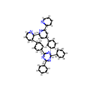 c1ccc(-c2cc(-c3ccccn3)nc(-c3ncccc3-c3ccc(-c4nc(-c5ccccc5)nc(-c5ccccc5)n4)cc3)c2)cc1